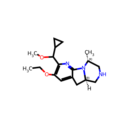 CCOc1cc2c(nc1C(OC)C1CC1)N1[C@@H](CNC[C@H]1C)C2